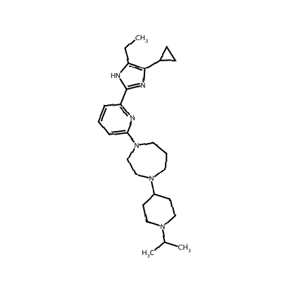 CCc1[nH]c(-c2cccc(N3CCCN(C4CCN(C(C)C)CC4)CC3)n2)nc1C1CC1